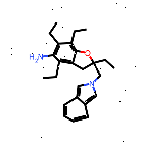 CCc1c(N)c(CC)c2c(c1CC)OC(CC)(Cn1cc3ccccc3c1)C2